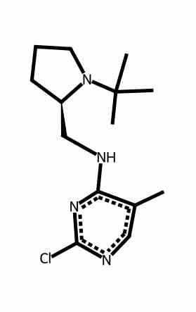 Cc1cnc(Cl)nc1NC[C@H]1CCCN1C(C)(C)C